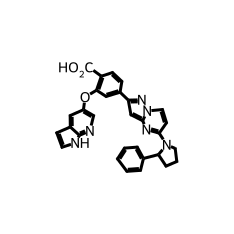 O=C(O)c1ccc(-c2cc3nc(N4CCCC4c4ccccc4)ccn3n2)cc1Oc1cnc2[nH]ccc2c1